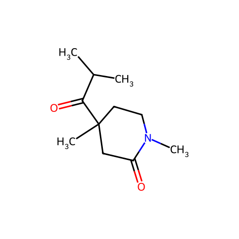 CC(C)C(=O)C1(C)CCN(C)C(=O)C1